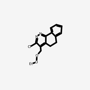 CCOOCc1c(Cl)nnc2c1CCc1ccccc1-2